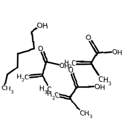 C=C(C)C(=O)O.C=C(C)C(=O)O.C=C(C)C(=O)O.CCCCCCO